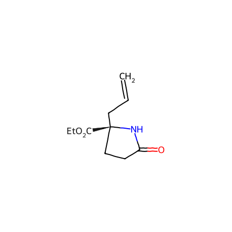 C=CC[C@@]1(C(=O)OCC)CCC(=O)N1